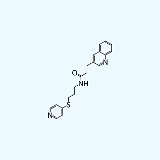 O=C(/C=C/c1cnc2ccccc2c1)NCCCSc1ccncc1